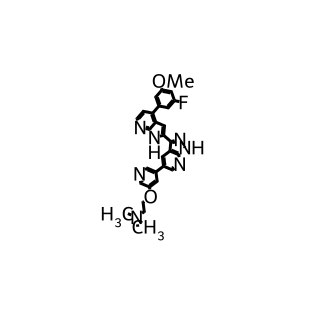 COc1cc(F)cc(-c2ccnc3[nH]c(-c4n[nH]c5ncc(-c6cncc(OCCN(C)C)c6)cc45)cc23)c1